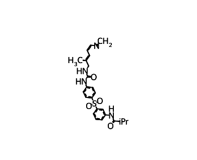 C=N/C=C\C=C(/C)CNC(=O)Nc1ccc(S(=O)(=O)c2cccc(NC(=O)C(C)C)c2)cc1